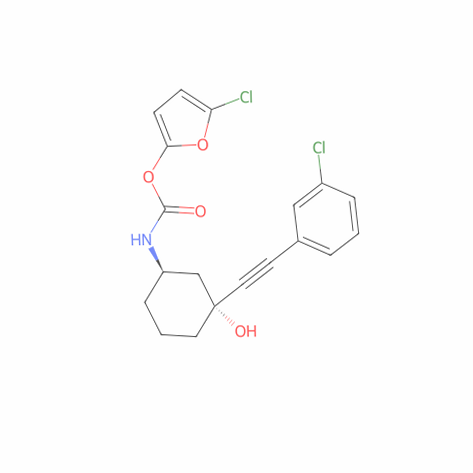 O=C(N[C@@H]1CCC[C@](O)(C#Cc2cccc(Cl)c2)C1)Oc1ccc(Cl)o1